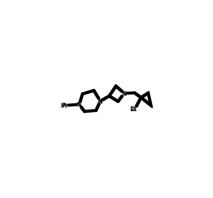 CCC1(CN2CC(N3CCN(C(C)C)CC3)C2)CC1